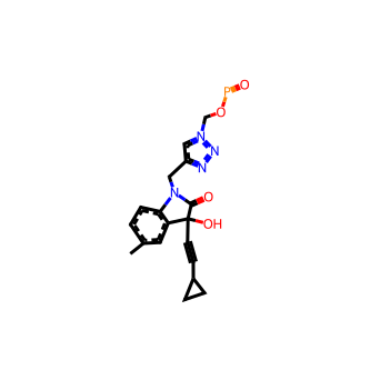 Cc1ccc2c(c1)C(O)(C#CC1CC1)C(=O)N2Cc1cn(COP=O)nn1